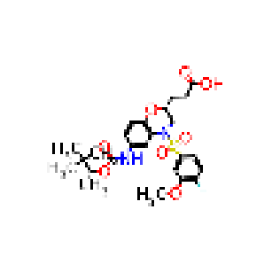 COc1cc(S(=O)(=O)N2C[C@H](CCC(=O)O)Oc3ccc(NC(=O)O[C@H](C)C(C)(C)C)cc32)ccc1F